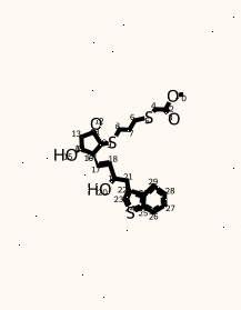 COC(=O)CSCCCSC1C(=O)C[C@@H](O)[C@@H]1C=CC(O)Cc1csc2ccccc12